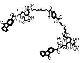 CC(=O)N[C@H]1[C@H]([C@H](O)[C@H](O)CNC(=O)c2ccc3c(c2)C(=O)c2ccccc2-3)O[C@@](OCCCSCCNC(=O)c2ccc(C(=O)NCCSCCCO[C@]3(C(=O)O)C[C@H](O)[C@@H](NC(C)=O)[C@H]([C@H](O)[C@@H](O)CNC(=O)c4ccc5c(c4)C(=O)c4ccccc4-5)O3)cc2)(C(=O)O)C[C@@H]1O